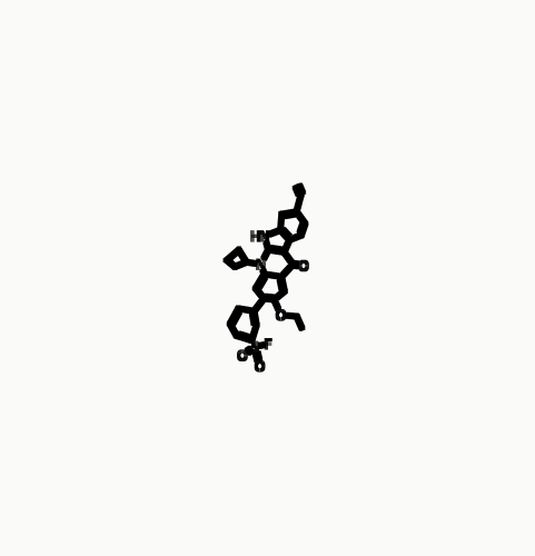 C#Cc1ccc2c(c1)[nH]c1c2c(=O)c2cc(OCC)c(-c3cccc(S(=O)(=O)F)c3)cc2n1C1CCC1